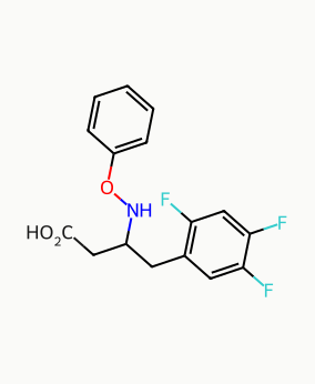 O=C(O)CC(Cc1cc(F)c(F)cc1F)NOc1ccccc1